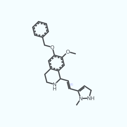 COc1cc2c(cc1OCc1ccccc1)CCNC2/C=C/C1=CCNN1C